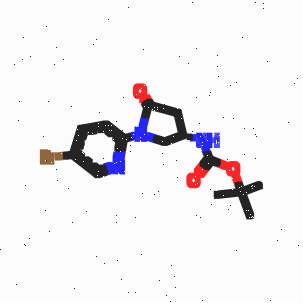 CC(C)(C)OC(=O)N[C@H]1CC(=O)N(c2ccc(Br)cn2)C1